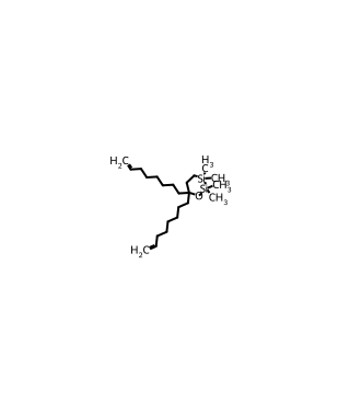 C=CCCCCCCC1(CCCCCCC=C)CC[Si](C)(C)[Si](C)(C)O1